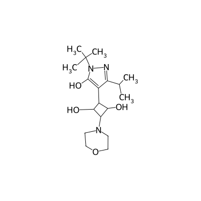 CC(C)c1nn(C(C)(C)C)c(O)c1C1C(O)C(N2CCOCC2)C1O